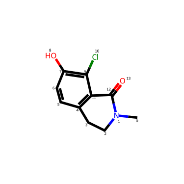 CN1CCc2ccc(O)c(Cl)c2C1=O